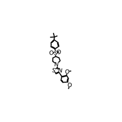 COc1ccc(-c2csc(N3CCC(S(=O)(=O)c4ccc(C(C)(C)C)cc4)CC3)n2)c(OC)c1